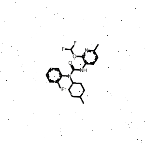 Cc1ccc(NC(=O)N(c2ccccc2C(C)C)C2CCC(C)CC2)c(OC(F)F)n1